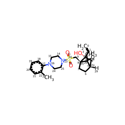 C=C[C@@]1(O)C[C@@H]2CC[C@@]1(CS(=O)(=O)N1CCN(c3ccccc3C)CC1)C2(C)C